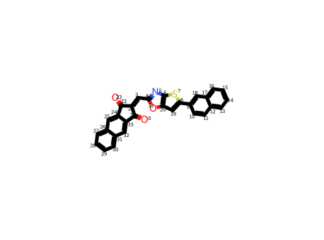 O=C1C(=Cc2nc3sc(-c4ccc5ccccc5c4)cc3o2)C(=O)c2cc3ccccc3cc21